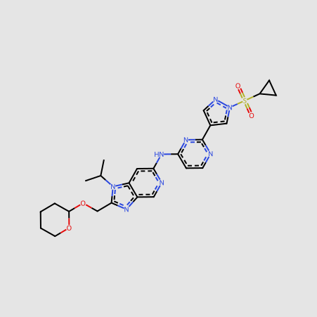 CC(C)n1c(COC2CCCCO2)nc2cnc(Nc3ccnc(-c4cnn(S(=O)(=O)C5CC5)c4)n3)cc21